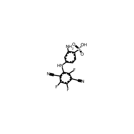 N#Cc1c(F)c(F)c(C#N)c(Nc2ccc(S(=O)(=O)O)c(N)c2)c1F